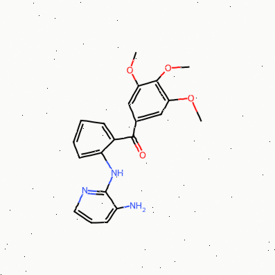 COc1cc(C(=O)c2ccccc2Nc2ncccc2N)cc(OC)c1OC